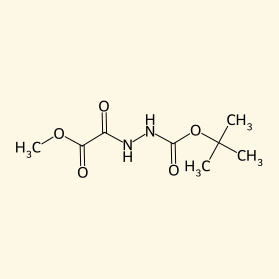 COC(=O)C(=O)NNC(=O)OC(C)(C)C